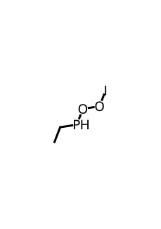 CCPOOI